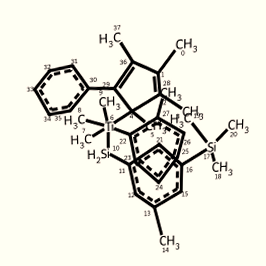 CC1=C(C)[C](C)([Ti]([CH3])([CH3])([CH3])([SiH2]c2cc(C)cc([Si](C)(C)C)c2)[c]2ccccc2C)C(c2ccccc2)=C1C